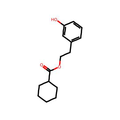 O=C(OCCc1cccc(O)c1)C1CCCCC1